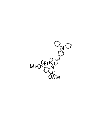 CCN1OC/C(=C\c2ccc(N(c3ccccc3)c3ccccc3)cc2)O/C1=N/c1cc(C(=O)OC)ccc1C(=O)OC